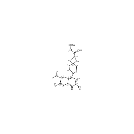 CN(C)c1cc2c(N3CCC4(CC3)CN(C(=O)OC(C)(C)C)C4)nc(Cl)nc2cc1Br